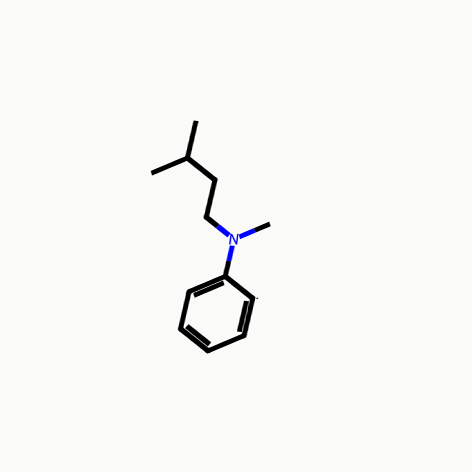 CC(C)CCN(C)c1[c]cccc1